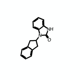 O=c1[nH]c2ccccc2n1C1Cc2ccccc2C1